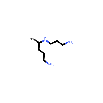 [CH2]CCC(CCCN)NCCCN